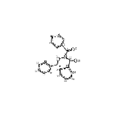 O=C(c1ccccc1)N(OCc1ccccc1)C(=O)c1ccccc1